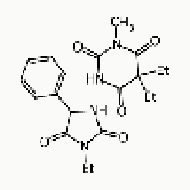 CCC1(CC)C(=O)NC(=O)N(C)C1=O.CCN1C(=O)NC(c2ccccc2)C1=O